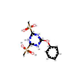 CS(=O)(=O)c1nc(Oc2ccccc2)nc(S(C)(=O)=O)n1